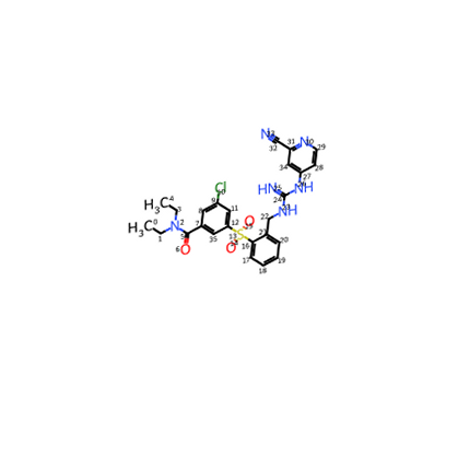 CCN(CC)C(=O)c1cc(Cl)cc(S(=O)(=O)c2ccccc2CNC(=N)Nc2ccnc(C#N)c2)c1